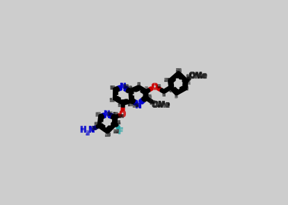 COc1ccc(COc2cc3nccc(Oc4ncc(N)cc4F)c3nc2OC)cc1